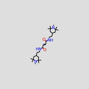 CN1C(C)(C)CC(CCNC(=O)/C=C/C(=O)NCCC2CC(C)(C)N(C)C(C)(C)C2)CC1(C)C